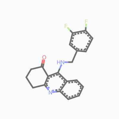 O=C1CCCc2nc3ccccc3c(NCc3ccc(F)c(F)c3)c21